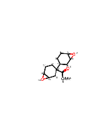 COC(=O)C1(C2CCC3OC3C2)CCC2OC2C1